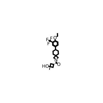 CCOc1ccc(C2CCC3(CC2)CN(C(=O)[C@H]2C[C@@](C)(O)C2)C3)cc1C(F)(F)F